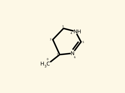 CC1CCN[C]=N1